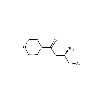 CC(=O)C[C@H](N)CC(=O)N1CCOCC1